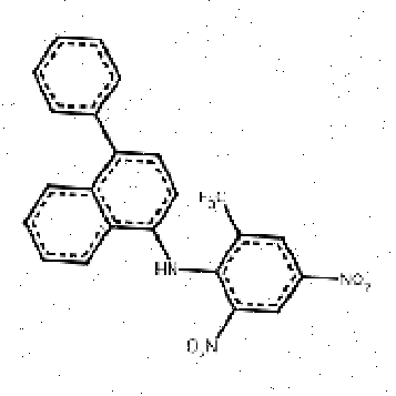 O=[N+]([O-])c1cc([N+](=O)[O-])c(Nc2ccc(-c3ccccc3)c3ccccc23)c(C(F)(F)F)c1